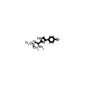 C[SiH](C)C[C@H](N)c1nc(-c2ccc(Br)cc2)c[nH]1